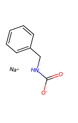 O=C([O-])NCc1ccccc1.[Na+]